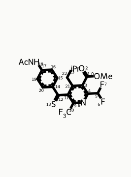 COC(=O)c1c(C(F)F)nc(C(F)(F)F)c(C(=S)c2ccc(NC(C)=O)cc2)c1CC(C)C